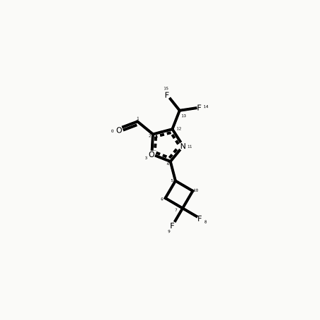 O=Cc1oc(C2CC(F)(F)C2)nc1C(F)F